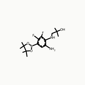 CC(C)(O)CNc1c(N)cc(B2OC(C)(C)C(C)(C)O2)c(F)c1F